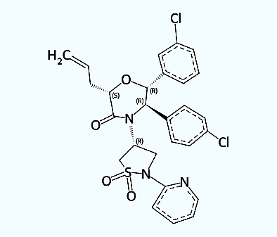 C=CC[C@@H]1O[C@H](c2cccc(Cl)c2)[C@@H](c2ccc(Cl)cc2)N([C@@H]2CN(c3ccccn3)S(=O)(=O)C2)C1=O